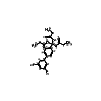 CCC(=O)O[Si](OC(=O)CC)(OC(=O)CC)c1ccc(-c2cc(F)cc(F)c2)cc1